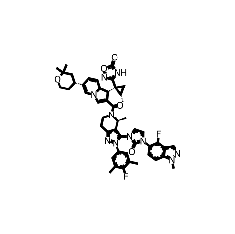 Cc1cc(-n2nc3c(c2-n2ccn(-c4ccc5c(cnn5C)c4F)c2=O)[C@H](C)N(C(=O)C2=CN4C=C([C@@H]5CCOC(C)(C)C5)C=CC4C2[C@]2(c4noc(=O)[nH]4)C[C@@H]2C)CC3)cc(C)c1F